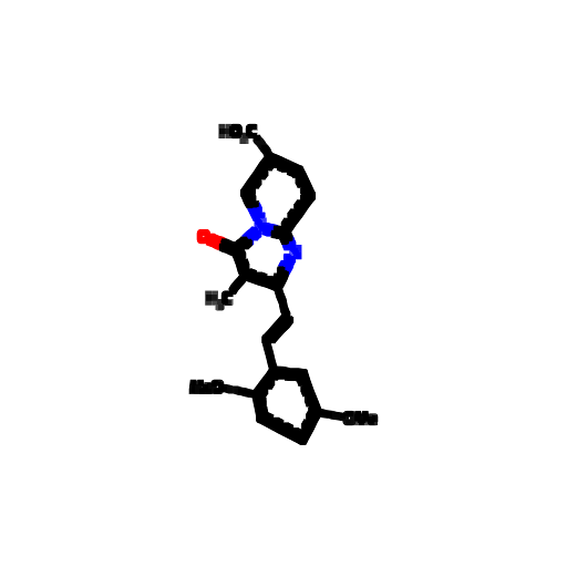 COc1ccc(OC)c(C=Cc2nc3ccc(C(=O)O)cn3c(=O)c2C)c1